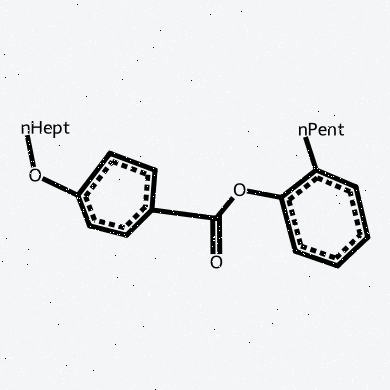 CCCCCCCOc1ccc(C(=O)Oc2ccccc2CCCCC)cc1